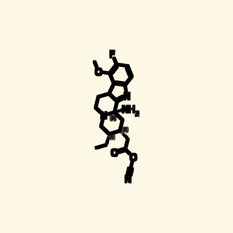 CC[C@@H]1CN2CCC3C(=Nc4ccc(F)c(OC)c43)[C@@]2(N)C[C@@H]1CC(=O)OC#N